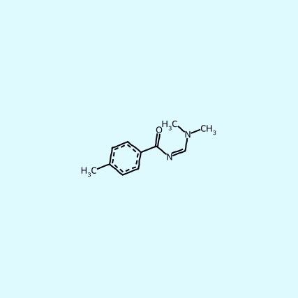 Cc1ccc(C(=O)/N=C\N(C)C)cc1